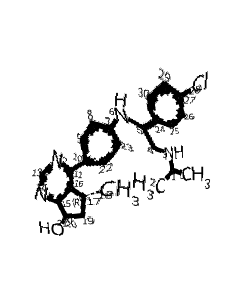 CC(C)NCC(Nc1ccc(-c2ncnc3c2[C@H](C)C[C@H]3O)cc1)c1ccc(Cl)cc1